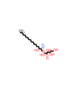 CCCCCCCCCCCCCCC[C@@H](O)[C@@H](N)COC(O)/C(O)=C(\O)C(O)CCO